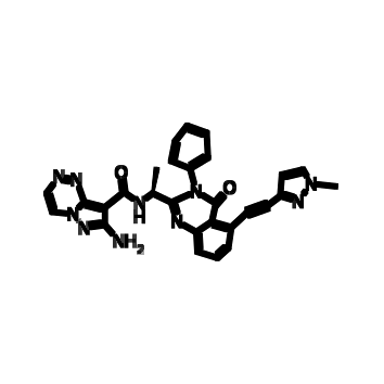 C[C@H](NC(=O)c1c(N)nn2ccnnc12)c1nc2cccc(C#Cc3ccn(C)n3)c2c(=O)n1-c1ccccc1